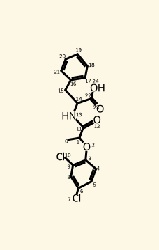 CC(Oc1ccc(Cl)cc1Cl)C(=O)NC(Cc1ccccc1)C(=O)O